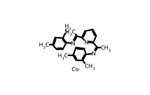 CC(=Nc1ccc(C)cc1C)c1cccc(C(C)=Nc2ccc(C)cc2C)n1.[Co]